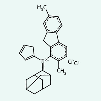 Cc1ccc2c(c1)Cc1c-2ccc(C)[c]1[Ti+2]([C]1=CC=CC1)=[C]1C2CC3CC(C2)CC1C3.[Cl-].[Cl-]